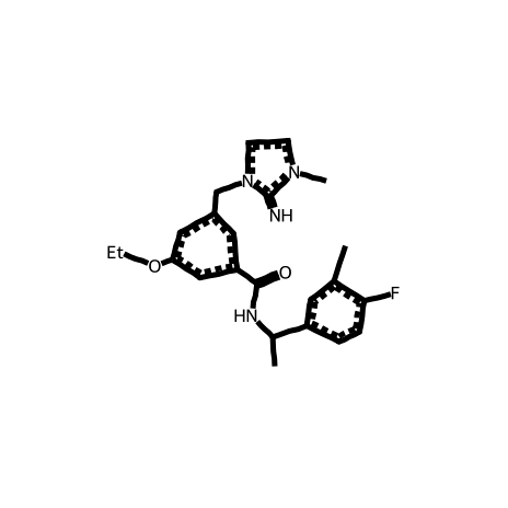 CCOc1cc(Cn2ccn(C)c2=N)cc(C(=O)NC(C)c2ccc(F)c(C)c2)c1